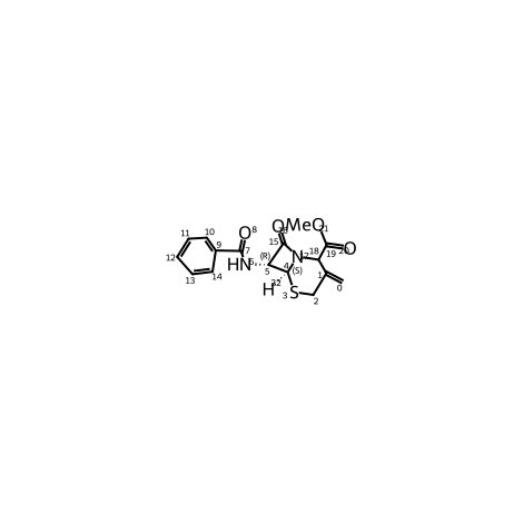 C=C1CS[C@H]2[C@H](NC(=O)c3ccccc3)C(=O)N2C1C(=O)OC